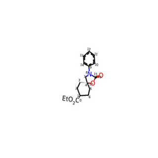 CCOC(=O)[C@H]1CC[C@]2(CC1)CN(c1ccccc1)C(=O)O2